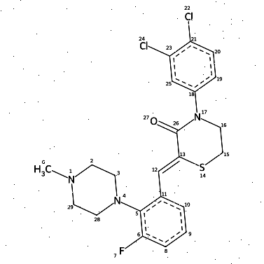 CN1CCN(c2c(F)cccc2/C=C2\SCCN(c3ccc(Cl)c(Cl)c3)C2=O)CC1